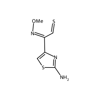 CON=C(C=S)c1csc(N)n1